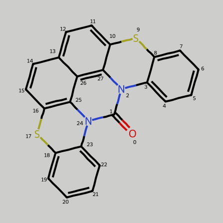 O=c1n2c3ccccc3sc3ccc4ccc5sc6ccccc6n1c5c4c32